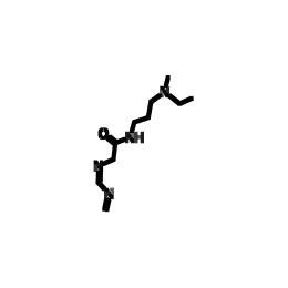 C=N/C=N\CC(=O)NCCCN(C)CC